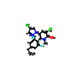 CCn1c(-c2c(F)cc(CC(=O)O)cc2F)c(-n2cc(Cl)cn2)cc(Cl)c1=O